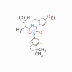 CCOc1ccc2c(c1)CCN(C(=O)C(C)CCC(=O)O)C2C(=O)Nc1cc(F)c2c(c1)CCC2(C)C